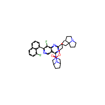 CCCCOC(=O)N1C2CCC1CN(c1nc(CCC34CCCN3CCC4)nc3c(F)c(-c4cccc5cccc(F)c45)ncc13)C2